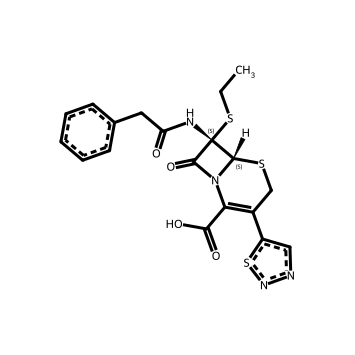 CCS[C@@]1(NC(=O)Cc2ccccc2)C(=O)N2C(C(=O)O)=C(c3cnns3)CS[C@H]21